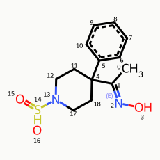 C/C(=N\O)C1(c2ccccc2)CCN([SH](=O)=O)CC1